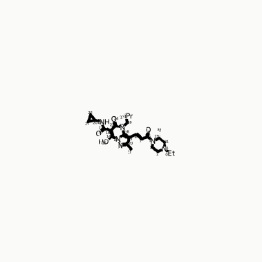 CCN1CCN(C(=O)/C=C/c2c(C)nn3c(O)c(C(=O)NC4CC4)c(=O)n(CC(C)C)c23)[C@H](C)C1